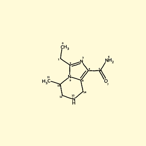 CCc1nc(C(N)=O)c2n1C(C)CNC2